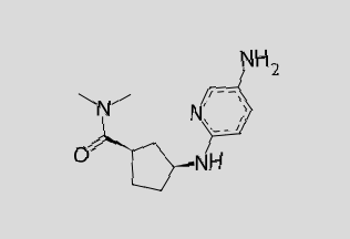 CN(C)C(=O)[C@@H]1CC[C@H](Nc2ccc(N)cn2)C1